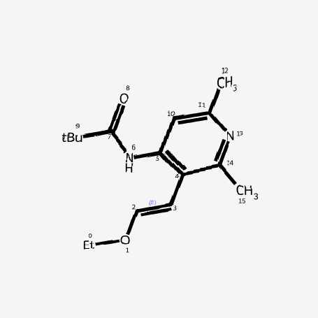 CCO/C=C/c1c(NC(=O)C(C)(C)C)cc(C)nc1C